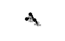 O=C(C=Cc1ccc(C(CCCc2ccccc2)NC(=O)NC(=O)c2ccccc2)cc1)NO